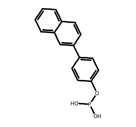 OP(O)Oc1ccc(-c2ccc3ccccc3c2)cc1